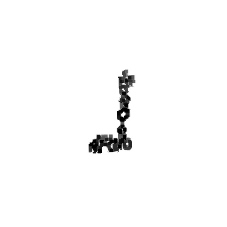 O=C(N1CC(c2ccc(N3CC(OCC(F)(F)F)C3)cc2)C1)N1CCC(c2nnc[nH]2)C1